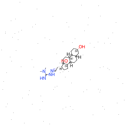 CN(C)C(=N)N/N=C/C[C@H]1CC[C@]2(O)[C@@H]3CC[C@@H]4C[C@@H](O)CC[C@]4(C)[C@H]3CC[C@]12C